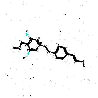 CC/C=C/c1ccc(CCc2cc(F)c(CCC)c(F)c2)cc1